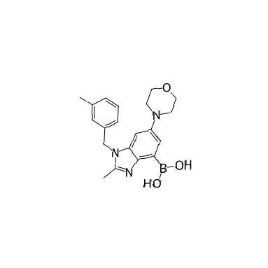 Cc1cccc(Cn2c(C)nc3c(B(O)O)cc(N4CCOCC4)cc32)c1